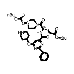 CCCCOC(=O)ON1CCN(C(=O)[C@H](CCC(=O)OC(C)(C)C)NC(=O)c2cc(OC3CCNCC3)nc(-c3ccccc3)n2)CC1